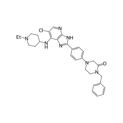 CCN1CCC(Nc2c(Cl)cnc3[nH]c(-c4ccc(N5CCN(Cc6ccccc6)C(=O)C5)cc4)nc23)CC1